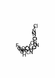 N#Cc1c(NS(=O)(=O)N2CC[C@@H](F)C2)ccc(F)c1Oc1ccc2ncn(-c3ccc(N4CCN(CCCl)CC4)cc3)c(=O)c2c1